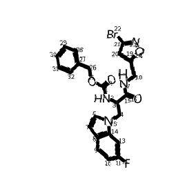 O=C(NC(Cn1ccc2ccc(F)cc21)C(=O)NCC1CC(Br)=NO1)OCc1ccccc1